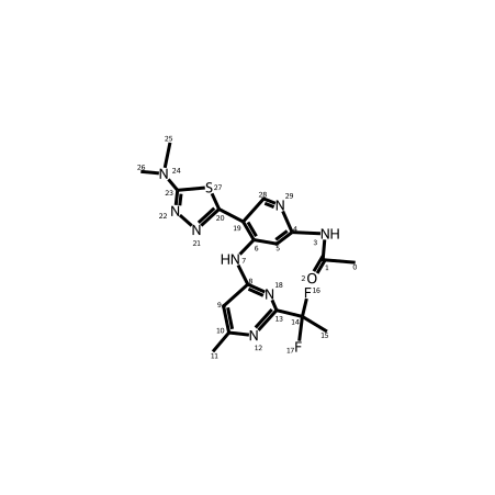 CC(=O)Nc1cc(Nc2cc(C)nc(C(C)(F)F)n2)c(-c2nnc(N(C)C)s2)cn1